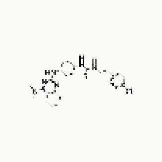 CN(C)c1nc(N[C@H]2CC[C@@H](NC(=S)NCCc3ccc(Cl)cc3)CC2)nc2c1CCCC2